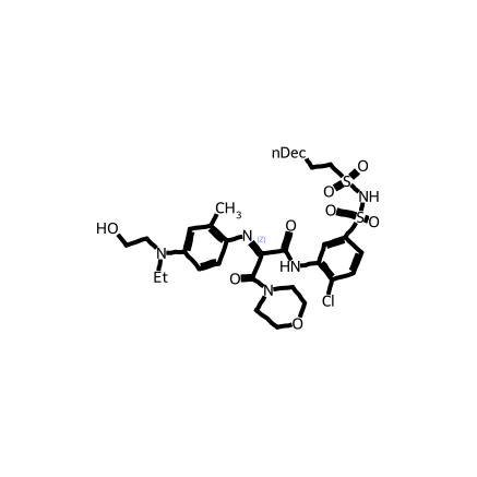 CCCCCCCCCCCCS(=O)(=O)NS(=O)(=O)c1ccc(Cl)c(NC(=O)/C(=N/c2ccc(N(CC)CCO)cc2C)C(=O)N2CCOCC2)c1